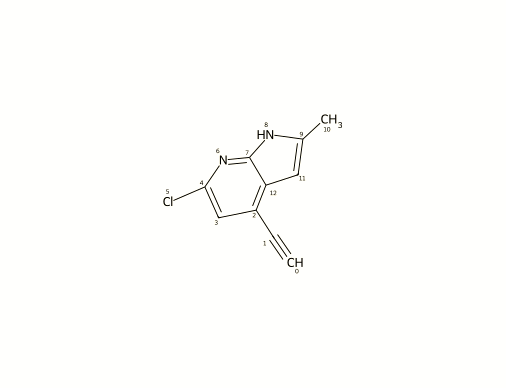 C#Cc1cc(Cl)nc2[nH]c(C)cc12